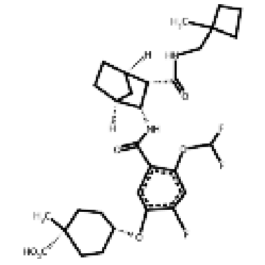 CC1(CNC(=O)[C@H]2[C@@H]3CC[C@@H](C3)[C@H]2NC(=O)c2cc(O[C@H]3CC[C@@](C)(C(=O)O)CC3)c(F)cc2OC(F)F)CCC1